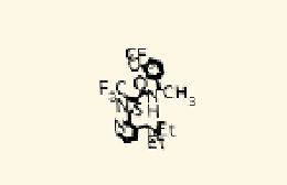 CCN(CC)Cc1cccnc1-c1nc(C(F)(F)F)c(C(=O)NC(C)c2cccc(OC(F)(F)F)c2)s1